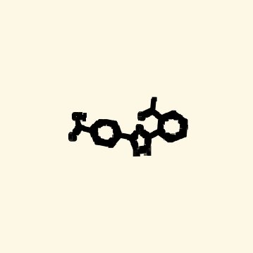 CC(=O)c1ccccc1-c1nnc(-c2ccc(C(=O)O)cc2)o1